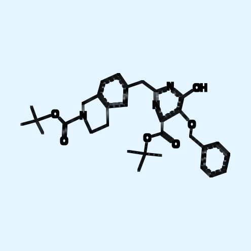 CC(C)(C)OC(=O)c1nc(Cc2ccc3c(c2)CCN(C(=O)OC(C)(C)C)C3)nc(O)c1OCc1ccccc1